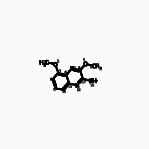 COc1nc2c(OC)cccc2nc1[NH]